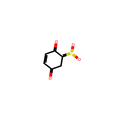 O=C1C=CC(=O)C(=S(=O)=O)C1